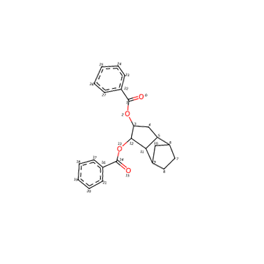 O=C(OC1CC2C3CCC(C3)C2C1OC(=O)c1ccccc1)c1ccccc1